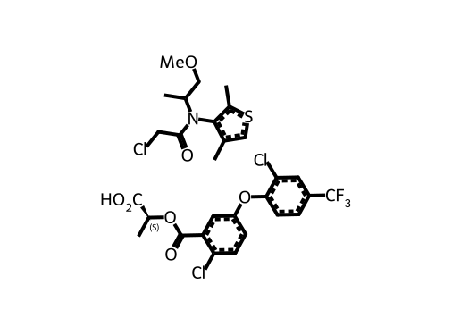 COCC(C)N(C(=O)CCl)c1c(C)csc1C.C[C@H](OC(=O)c1cc(Oc2ccc(C(F)(F)F)cc2Cl)ccc1Cl)C(=O)O